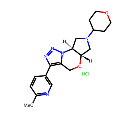 COc1ccc(-c2nnn3c2CO[C@H]2CN(C4CCOCC4)C[C@@H]23)cn1.Cl